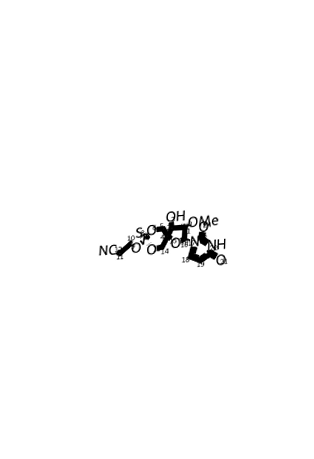 CO[C@H]1C(O)C2(COP(=S)(OCCC#N)OC2)O[C@H]1n1ccc(=O)[nH]c1=O